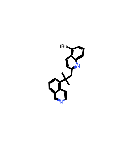 CC(C)(C)c1cccc2nc(CC(C)(C)c3cccc4cnccc34)ccc12